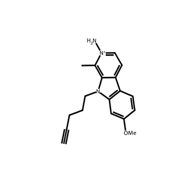 C#CCCCn1c2cc(OC)ccc2c2cc[n+](N)c(C)c21